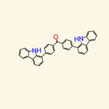 O=C(c1ccc(-c2cccc3c2[nH]c2ccccc23)cc1)c1ccc(-c2cccc3c2[nH]c2ccccc23)cc1